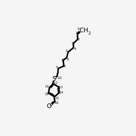 C=CCCCCCCCCCSc1ccc(C=O)cc1